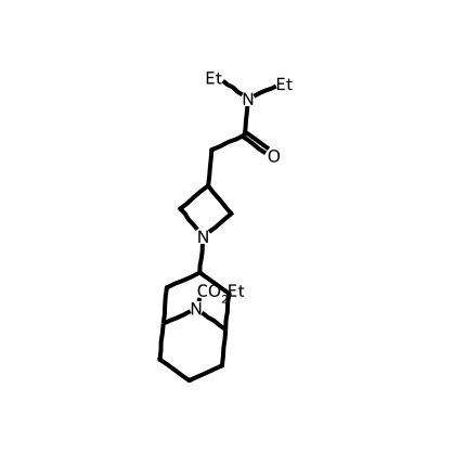 CCOC(=O)N1C2CCCC1CC(N1CC(CC(=O)N(CC)CC)C1)C2